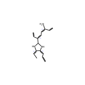 C=C/C=C1/NC(/C(C=C)=C/C=C(/N)C=C)N/C1=C/C